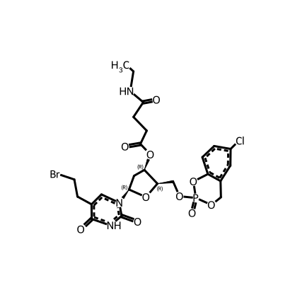 CCNC(=O)CCC(=O)O[C@@H]1C[C@H](n2cc(CCBr)c(=O)[nH]c2=O)O[C@@H]1COP1(=O)OCc2cc(Cl)ccc2O1